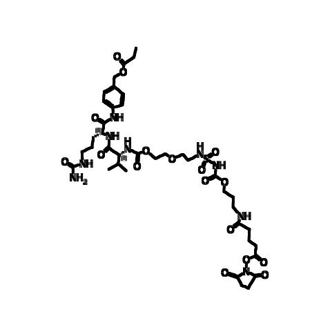 CCC(=O)OCc1ccc(NC(=O)[C@@H](CCCNC(N)=O)NC(=O)[C@H](NC(=O)OCCOCCNS(=O)(=O)NC(=O)OCCCNC(=O)CCCC(=O)ON2C(=O)CCC2=O)C(C)C)cc1